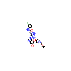 COc1cc(OC2CCN(CCOC(C)(C)C)CC2)c2c(Nc3cc(CC(=O)Nc4cccc(F)c4)[nH]n3)ncnc2c1